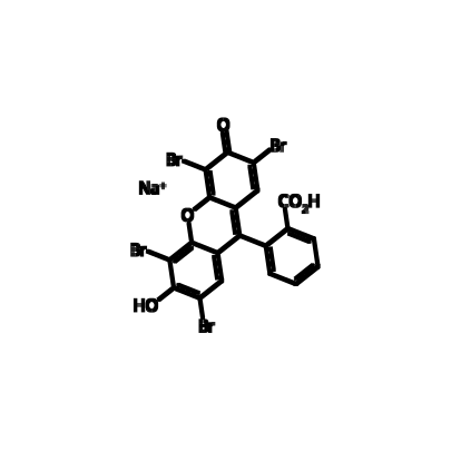 O=C(O)c1ccccc1-c1c2cc(Br)c(=O)c(Br)c-2oc2c(Br)c(O)c(Br)cc12.[Na+]